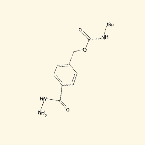 CC(C)(C)NC(=O)OCc1ccc(C(=O)NN)cc1